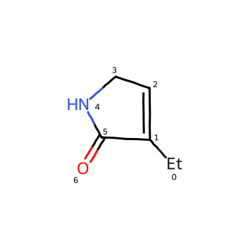 CCC1=CCNC1=O